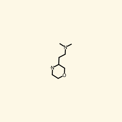 CN(C)CCC1COCC[N]1